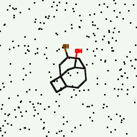 OC1CC23CCC2CCC1CC(S)C3